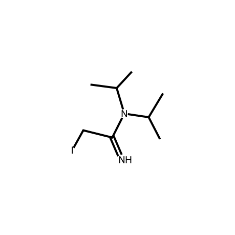 CC(C)N(C(=N)CI)C(C)C